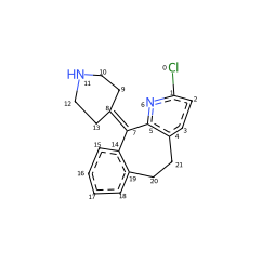 Clc1ccc2c(n1)C(=C1CCNCC1)c1ccccc1CC2